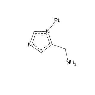 CCn1cncc1CN